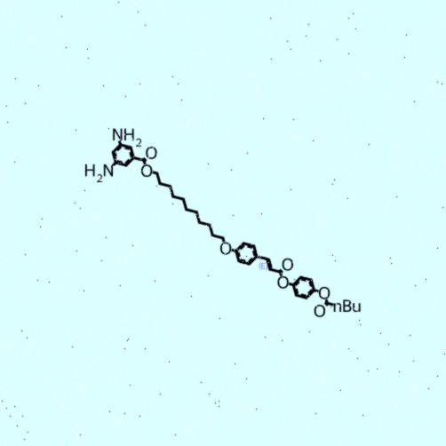 CCCCC(=O)Oc1ccc(OC(=O)/C=C/c2ccc(OCCCCCCCCCCCOC(=O)c3cc(N)cc(N)c3)cc2)cc1